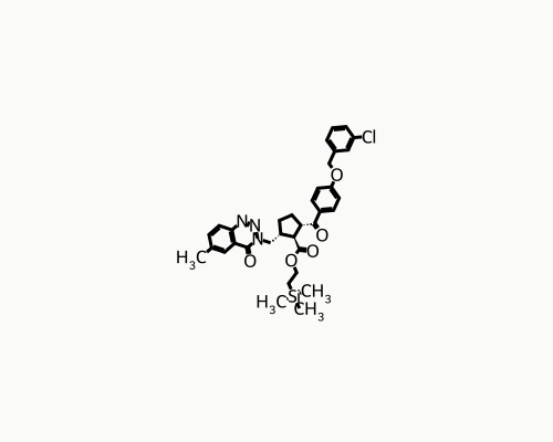 Cc1ccc2nnn(C[C@@H]3CC[C@H](C(=O)c4ccc(OCc5cccc(Cl)c5)cc4)[C@H]3C(=O)OCC[Si](C)(C)C)c(=O)c2c1